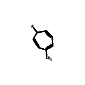 CC1=CC=CC(F)C=C1